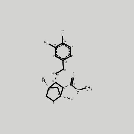 COC(=O)[C@@H]1[C@H]2CC[C@H](C2)[C@@H]1NCc1ccc(F)c(F)c1